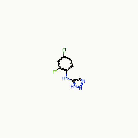 Fc1cc(Cl)ccc1Nc1cnn[nH]1